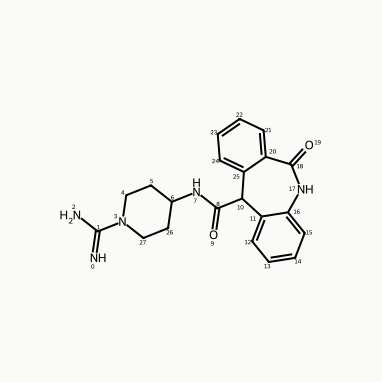 N=C(N)N1CCC(NC(=O)C2c3ccccc3NC(=O)c3ccccc32)CC1